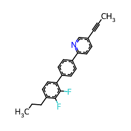 CC#Cc1ccc(-c2ccc(-c3ccc(CCC)c(F)c3F)cc2)nc1